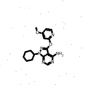 COc1ccnc(Oc2nn(C3CCCCC3)c3ncnc(N)c23)c1